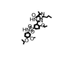 CCCc1nc(C)c2c(=O)[nH]c(-c3cc(S(=O)(=O)Nc4ccc(OC(C)C)c(OC)c4)ccc3OCC)nn12